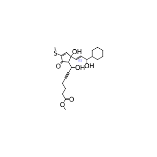 COC(=O)CCCC#CC(O)C1C(=O)C(SC)=CC1(O)/C=C/C(O)C1CCCCC1